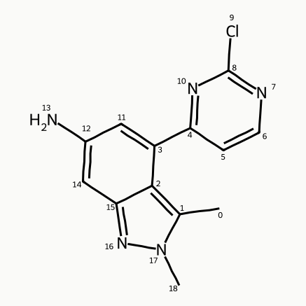 Cc1c2c(-c3ccnc(Cl)n3)cc(N)cc2nn1C